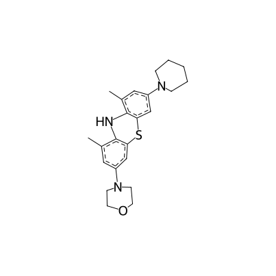 Cc1cc(N2CCCCC2)cc2c1Nc1c(C)cc(N3CCOCC3)cc1S2